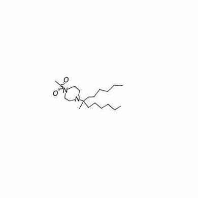 CCCCCCC(C)(CCCCCC)N1CCN(S(C)(=O)=O)CC1